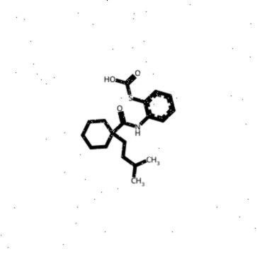 CC(C)CCC1(C(=O)Nc2ccccc2SC(=O)O)CCCCC1